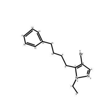 CCn1ncc(Br)c1CCCCc1ccccc1